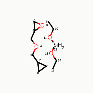 C1CC1COCC1CO1.CCO[SiH2]OCC